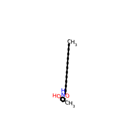 CC#CC#CC#CC#CC#CC#CC#CC#CC#CC#CC#CC(=O)Nc1cc(C)ccc1O